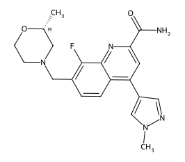 C[C@@H]1CN(Cc2ccc3c(-c4cnn(C)c4)cc(C(N)=O)nc3c2F)CCO1